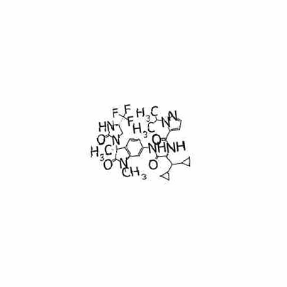 CC(C)n1nccc1C(=O)N[C@H](C(=O)Nc1ccc2c(c1)N(C)C(=O)[C@@]2(C)N1C[C@@H](C(F)(F)F)NC1=O)C(C1CC1)C1CC1